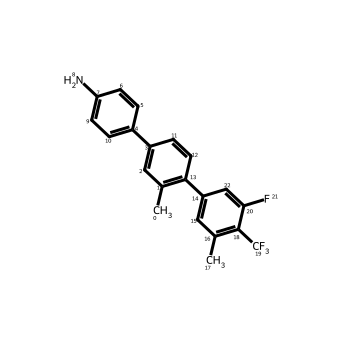 Cc1cc(-c2ccc(N)cc2)ccc1-c1cc(C)c(C(F)(F)F)c(F)c1